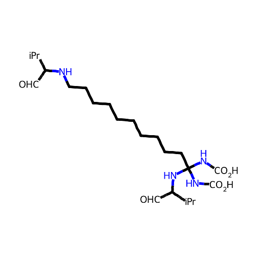 CC(C)C(C=O)NCCCCCCCCCCC(NC(=O)O)(NC(=O)O)NC(C=O)C(C)C